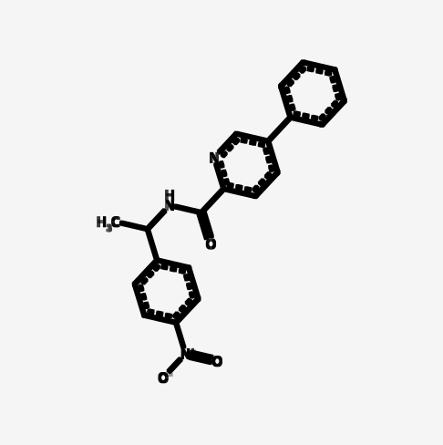 CC(NC(=O)c1ccc(-c2ccccc2)cn1)c1ccc([N+](=O)[O-])cc1